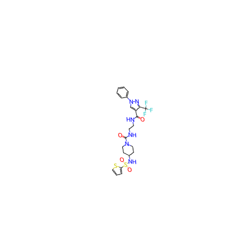 O=C(NCCNC(=O)N1CCC(NS(=O)(=O)c2cccs2)CC1)c1cn(-c2ccccc2)nc1C(F)(F)F